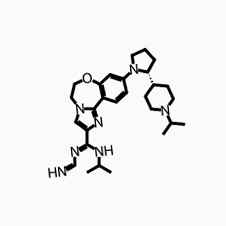 CC(C)N/C(=N\C=N)c1cn2c(n1)-c1ccc(N3CCC[C@@H]3C3CCN(C(C)C)CC3)cc1OCC2